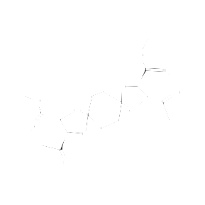 COC(=O)[C@@H]1OC2(CCC3(CC2)O[C@@H](C(C)=O)[C@H](C(=O)OC)O3)O[C@H]1C(C)=O